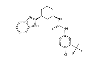 O=C(Nc1ccc(Cl)c(C(F)(F)F)c1)N[C@@H]1CCC[C@H](c2nc3ccccc3[nH]2)C1